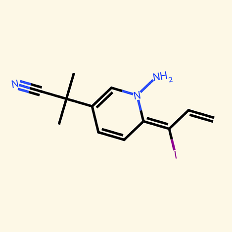 C=C/C(I)=C1/C=CC(C(C)(C)C#N)=CN1N